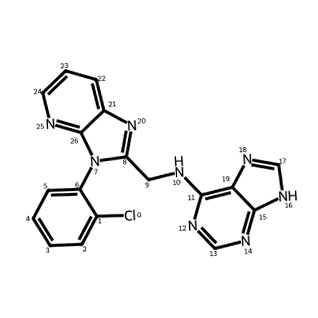 Clc1ccccc1-n1c(CNc2ncnc3[nH]cnc23)nc2cccnc21